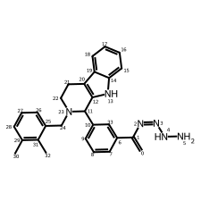 C=C(/N=N\NN)c1cccc(C2c3[nH]c4ccccc4c3CCN2Cc2cccc(C)c2C)c1